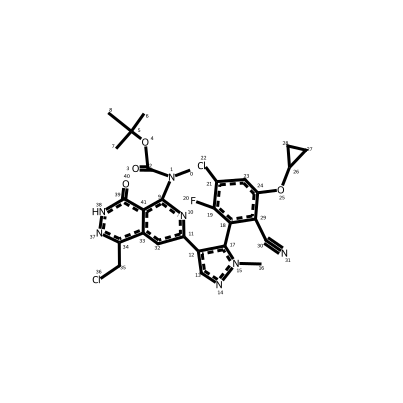 CN(C(=O)OC(C)(C)C)c1nc(-c2cnn(C)c2-c2c(F)c(Cl)cc(OC3CC3)c2C#N)cc2c(CCl)n[nH]c(=O)c12